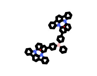 c1ccc(B(c2ccc(-c3cccc(-n4c5ccccc5c5ccc6c7ccccc7n(-c7ccccc7)c6c54)c3)cc2)c2ccc(-c3cccc(-n4c5ccccc5c5ccc6c7ccccc7n(-c7ccccc7)c6c54)c3)cc2)cc1